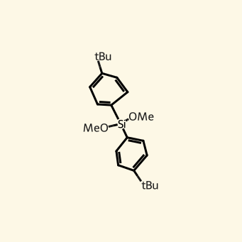 CO[Si](OC)(c1ccc(C(C)(C)C)cc1)c1ccc(C(C)(C)C)cc1